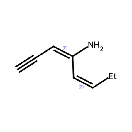 C#C/C=C(N)\C=C/CC